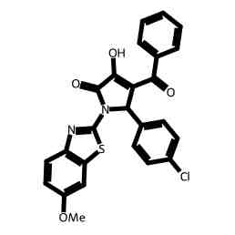 COc1ccc2nc(N3C(=O)C(O)=C(C(=O)c4ccccc4)C3c3ccc(Cl)cc3)sc2c1